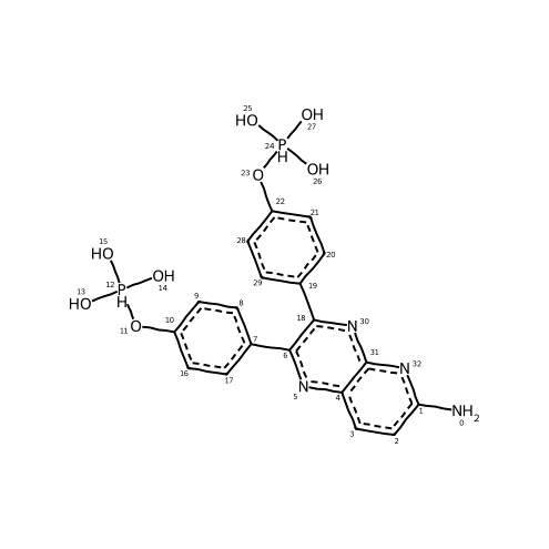 Nc1ccc2nc(-c3ccc(O[PH](O)(O)O)cc3)c(-c3ccc(O[PH](O)(O)O)cc3)nc2n1